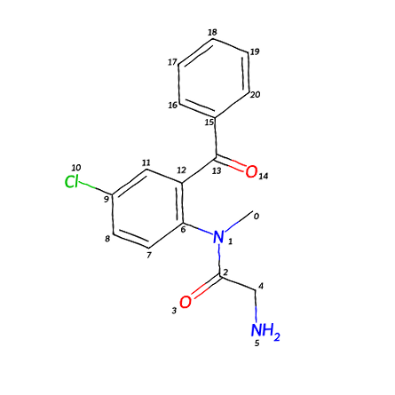 CN(C(=O)CN)c1ccc(Cl)cc1C(=O)c1ccccc1